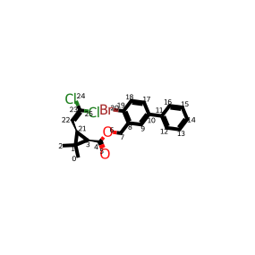 CC1(C)[C@H](C(=O)OCc2cc(-c3ccccc3)ccc2Br)[C@@H]1C=C(Cl)Cl